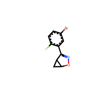 Fc1ccc(Br)cc1C1=NOC2CC12